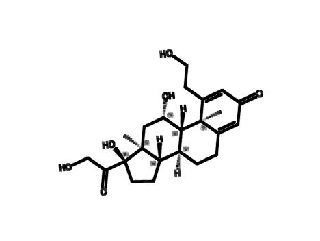 C[C@]12C(CCO)=CC(=O)C=C1CC[C@@H]1[C@@H]2[C@@H](O)C[C@@]2(C)[C@H]1CC[C@]2(O)C(=O)CO